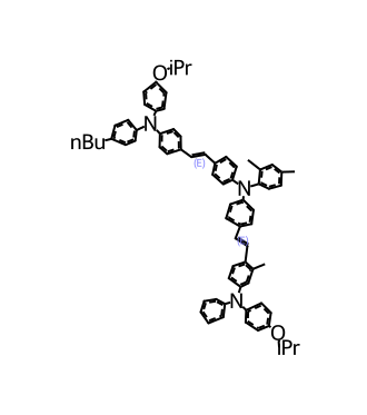 CCCCc1ccc(N(c2ccc(/C=C/c3ccc(N(c4ccc(/C=C/c5ccc(N(c6ccccc6)c6ccc(OC(C)C)cc6)cc5C)cc4)c4ccc(C)cc4C)cc3)cc2)c2ccc(OC(C)C)cc2)cc1